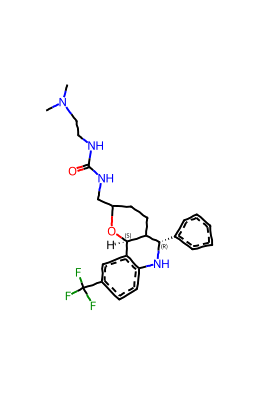 CN(C)CCNC(=O)NCC1CCC2[C@H](O1)c1cc(C(F)(F)F)ccc1N[C@H]2c1ccccc1